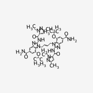 CCn1nc(C)cc1C(=O)Nc1nc2cc(C(N)=O)cc(OC(C)C)c2n1C/C=C/Cn1c(NC(=O)c2cc(C)nn2CC)nc2cc(C(N)=O)cc(OC(C)C)c21